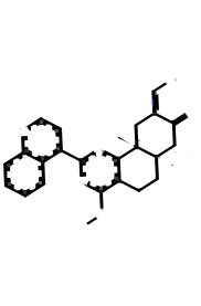 CC(C)Oc1nc(-c2ccnc3ccccc23)nc2c1CC[C@@H]1[C@@H](C)C(=O)/C(=C\O)C[C@@]21C